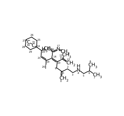 C=C(CCNCC(C)C)C/C(C(=C)C)=C(C(/C)=N\C)\C(I)=C/C(C)C12CCC(CC1)CC2